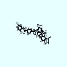 CNc1cc(C(c2ccc(O)c(NC(=O)c3ccc(C(=O)Nc4cc(C)ccc4C)cc3)c2)(C(F)(F)F)C(F)(F)F)ccc1C